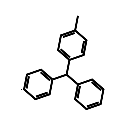 Cc1ccc(C(c2cc[c]cc2)c2ccccc2)cc1